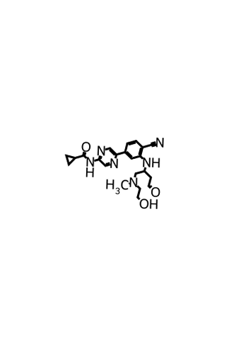 CN(CCO)CC(CC=O)Nc1cc(-c2cnc(NC(=O)C3CC3)cn2)ccc1C#N